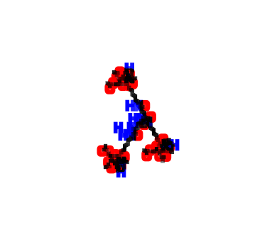 CC(=O)NC1C(OCCCCCCNC(=O)CCC(NC(=O)CCC(N)C(=O)NCCCCCCOC2OC(COC(C)=O)C(OC(C)=O)C(OC(C)=O)C2NC(C)=O)C(=O)NCCCCCCOC2OC(COC(C)=O)C(OC(C)=O)C(OC(C)=O)C2NC(C)=O)OC(COC(C)=O)C(OC(C)=O)C1OC(C)=O